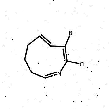 ClC1=C(Br)/C=C/CCC/C=N\1